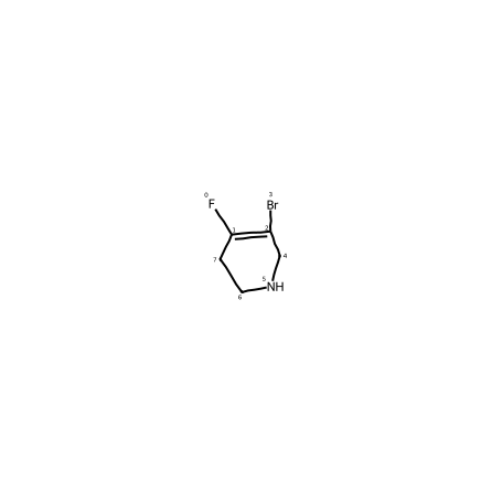 FC1=C(Br)CNCC1